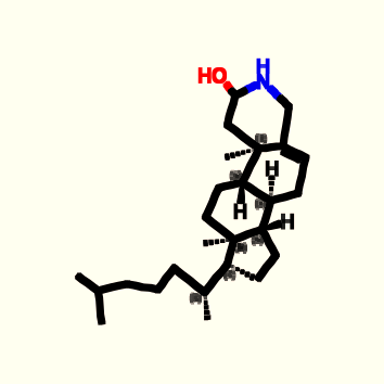 CC(C)CCC[C@@H](C)[C@H]1CC[C@H]2[C@@H]3CC=C4CNC(O)C[C@]4(C)[C@H]3CC[C@]12C